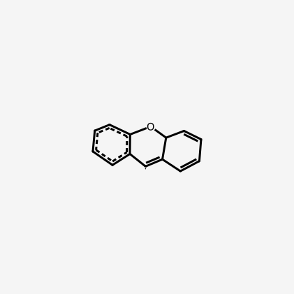 [C]1=C2C=CC=CC2Oc2ccccc21